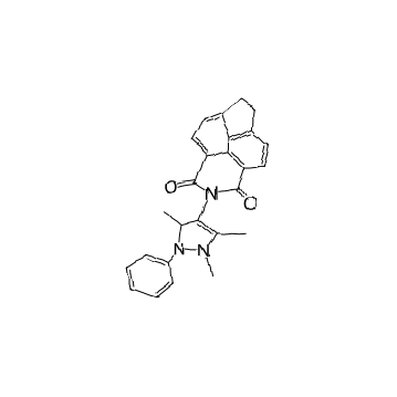 CC1=C(N2C(=O)c3ccc4c5c(ccc(c35)C2=O)CC4)C(C)N(c2ccccc2)N1C